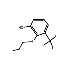 CCCSc1c(O)cccc1C(F)(F)F